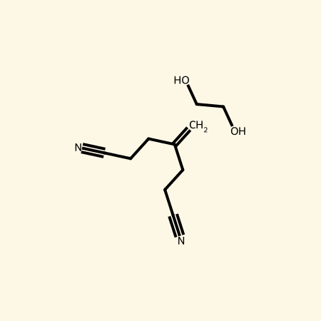 C=C(CCC#N)CCC#N.OCCO